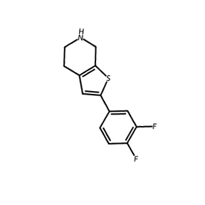 Fc1ccc(-c2cc3c(s2)CNCC3)cc1F